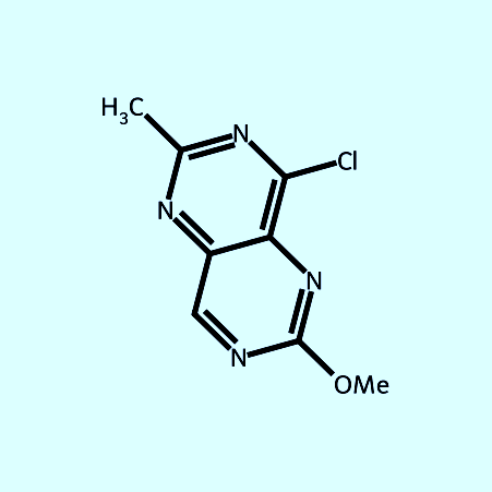 COc1ncc2nc(C)nc(Cl)c2n1